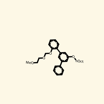 CCCCCCCCOc1cc(-c2ccccc2)cc(-c2ccccc2OCOCCOC)c1